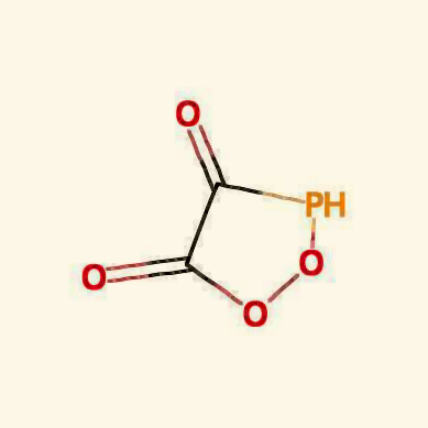 O=c1oo[pH]c1=O